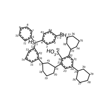 Bc1ccc([SiH](c2ccccc2)c2cccc(C3CCCC(c4cc(C5CCCCC5)cc(C5CCCCC5)c4S(=O)(=O)O)C3)c2)cc1